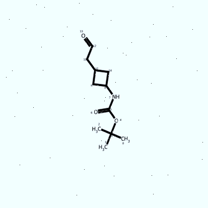 CC(C)(C)OC(=O)NC1CC(CC=O)C1